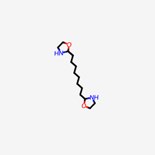 C(CCCCC1NCCO1)CCCC1NCCO1